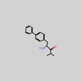 CC(C)C(=O)C(N)Cc1ccc(-c2ccccc2)cc1